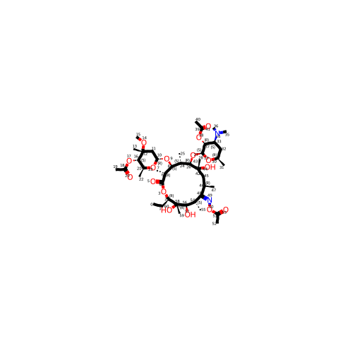 CC[C@H]1OC(=O)[C@H](C)[C@@H](O[C@H]2C[C@@](C)(OC)[C@@H](OC(C)=O)[C@H](C)O2)[C@H](C)[C@@H](O[C@@H]2O[C@H](C)C[C@H](N(C)C)[C@H]2OC(C)=O)[C@](C)(O)C[C@@H](C)C(=NOC(C)=O)[C@H](C)[C@@H](O)[C@]1(C)O